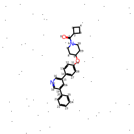 O=C(C1CCC1)N1CCC(Oc2ccc(-c3cncc(-c4ccccc4)c3)cc2)CC1